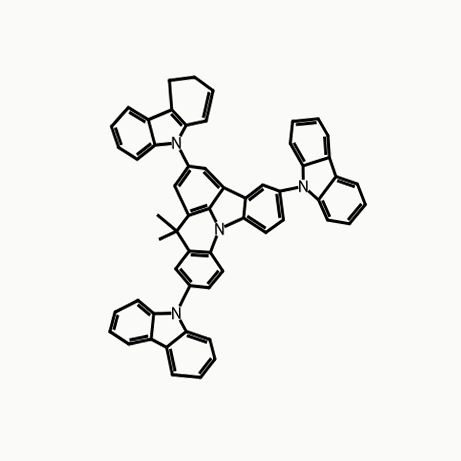 CC1(C)c2cc(-n3c4ccccc4c4ccccc43)ccc2-n2c3ccc(-n4c5ccccc5c5ccccc54)cc3c3cc(-n4c5c(c6ccccc64)CCC=C5)cc1c32